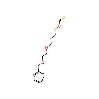 S=COSCCCOCCOCc1ccccc1